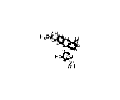 CC(C)Oc1ccc(Cc2cc([C@H]3C[C@@H](O)C[C@@H](CO)O3)ccc2Cl)c(F)c1